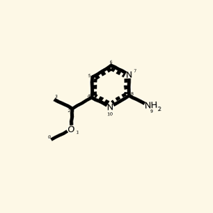 COC(C)c1ccnc(N)n1